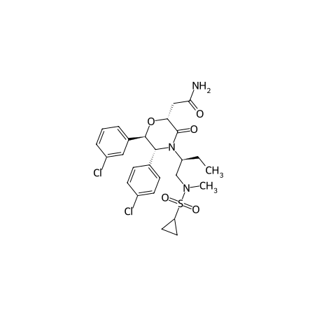 CC[C@@H](CN(C)S(=O)(=O)C1CC1)N1C(=O)[C@@H](CC(N)=O)O[C@H](c2cccc(Cl)c2)[C@H]1c1ccc(Cl)cc1